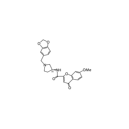 COc1ccc2c(=O)cc(C(=O)N[C@H]3CCN(Cc4ccc5c(c4)OCO5)C3)oc2c1